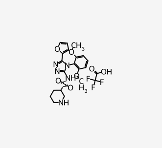 COc1cccc(OC)c1-n1c(NS(=O)(=O)[C@@H]2CCCNC2)nnc1-c1ccco1.O=C(O)C(F)(F)F